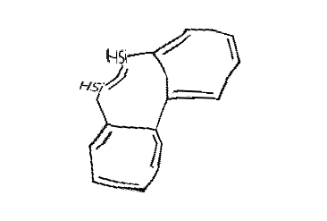 c1ccc2c(c1)[siH][siH]c1ccccc12